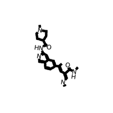 C=N/C=C(\C=C(/C)c1ccc2cnc(NC(=O)C3CCN(C)CC3)cc2c1)C(=O)NC